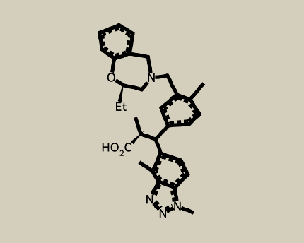 CC[C@@H]1CN(Cc2cc(C(c3ccc4c(nnn4C)c3C)[C@H](C)C(=O)O)ccc2C)Cc2ccccc2O1